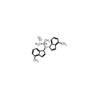 Cc1cccc2c1C=C[CH]2[Zr+2]([CH]1C=Cc2c(C)cccc21)[SiH](C)C.[Cl-].[Cl-]